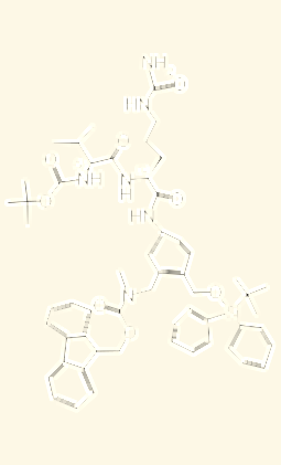 CC(C)[C@H](NC(=O)OC(C)(C)C)C(=O)N[C@@H](CCCNC(N)=O)C(=O)Nc1ccc(CO[Si](c2ccccc2)(c2ccccc2)C(C)(C)C)c(CN(C)C(=O)OCC2c3ccccc3-c3ccccc32)c1